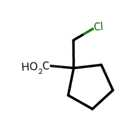 O=C(O)C1(CCl)CCCC1